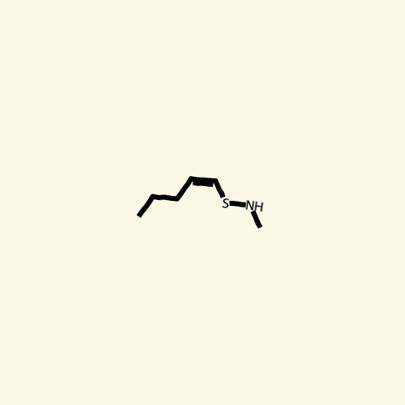 CCC/C=C\SNC